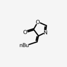 CCCCC=C1N=COC1=O